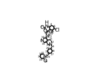 O=C1Nc2ccc(Cl)c(F)c2[C@]2(CCN(c3cncc4c3CCN(Cc3ccc(Cn5ccccc5=O)cc3)C4)C2)O1